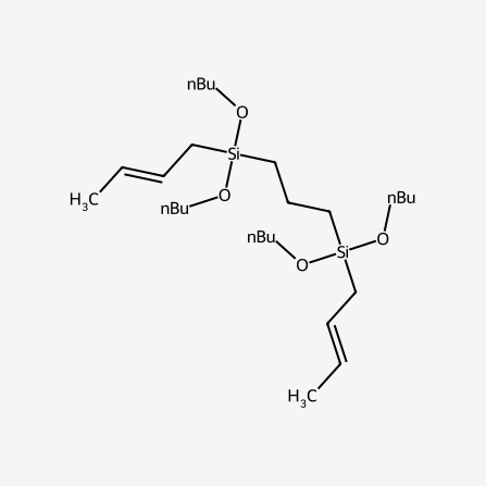 CC=CC[Si](CCC[Si](CC=CC)(OCCCC)OCCCC)(OCCCC)OCCCC